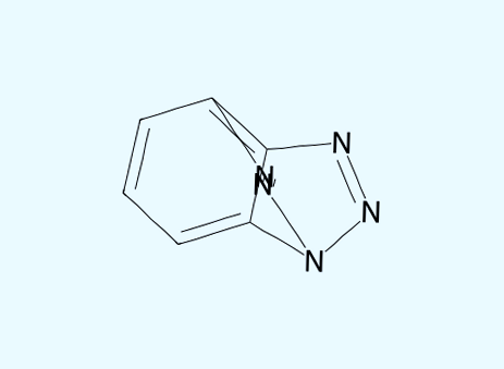 c1cc2c3nnn(c3c1)N=N2